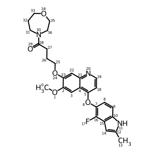 COc1cc2c(Oc3ccc4[nH]c(C)cc4c3F)ccnc2cc1OCCCC(=O)N1CCCOCC1